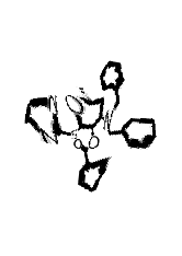 C[C@@H]1C[C@H](N(Cc2ccccc2)Cc2ccccc2)[C@@H](OC(=O)c2ccccc2)[C@H](Sc2ncccn2)O1